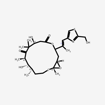 C/C(=C\c1csc(CO)n1)C1C[C@@H]2O[C@]2(C)CCC[C@H](C)[C@H](O)[C@@H](C)C(=O)C(C)(C)[C@@H](O)CC(=O)O1